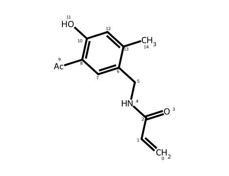 C=CC(=O)NCc1cc(C(C)=O)c(O)cc1C